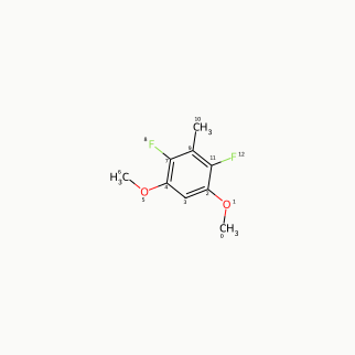 COc1cc(OC)c(F)c(C)c1F